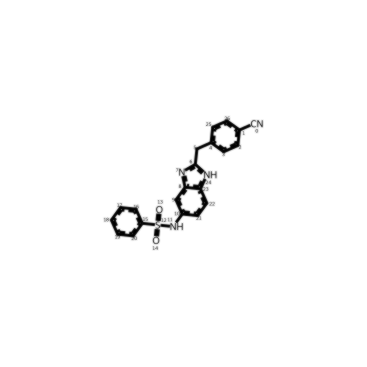 N#Cc1ccc(Cc2nc3cc(NS(=O)(=O)c4ccccc4)ccc3[nH]2)cc1